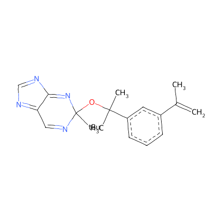 C=C(C)c1cccc(C(C)(C)OC2(C(C)(C)C)N=CC3=NC=NC3=N2)c1